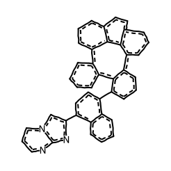 c1ccc2c(-c3cccc4c5cccc6ccc7cccc(c8ccccc8c34)c7c65)ccc(-c3cn4cccnc4n3)c2c1